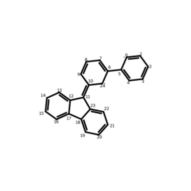 [c]1ccccc1C1=CC=CC(=C2c3ccccc3-c3ccccc32)[CH]1